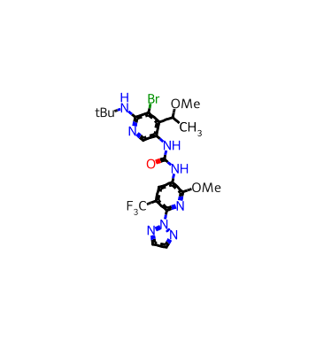 COc1nc(-n2nccn2)c(C(F)(F)F)cc1NC(=O)Nc1cnc(NC(C)(C)C)c(Br)c1C(C)OC